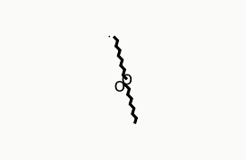 [CH2]CCCCCCCCOC(=O)CCCCCCCC